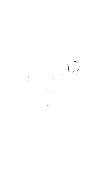 CCCCCCC(CCC)CCc1ccccn1